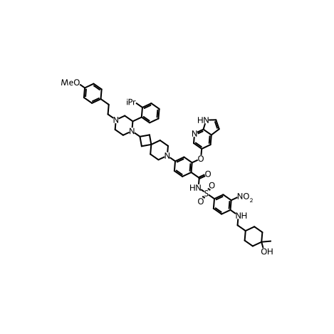 COc1ccc(CCN2CCN(C3CC4(CCN(c5ccc(C(=O)NS(=O)(=O)c6ccc(NCC7CCC(C)(O)CC7)c([N+](=O)[O-])c6)c(Oc6cnc7[nH]ccc7c6)c5)CC4)C3)C(c3ccccc3C(C)C)C2)cc1